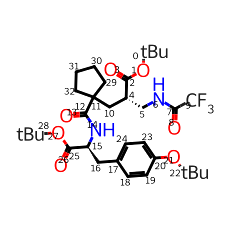 CC(C)(C)OC(=O)[C@H](CNC(=O)C(F)(F)F)CC1(C(=O)N[C@@H](Cc2ccc(OC(C)(C)C)cc2)C(=O)OC(C)(C)C)CCCC1